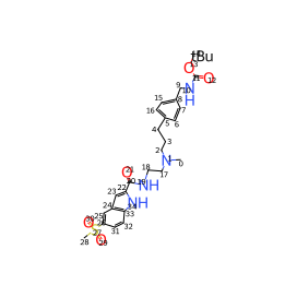 CN(CCCc1ccc(CNC(=O)OC(C)(C)C)cc1)CCNC(=O)c1cc2cc(S(C)(=O)=O)ccc2[nH]1